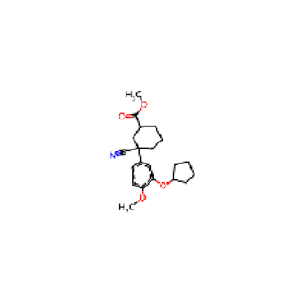 COC(=O)C1CCCC(C#N)(c2ccc(OC)c(OC3CCCC3)c2)C1